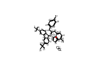 CC(C)(C)c1ccc2c(c1)-c1cc(C(C)(C)C)ccc1[CH]2[Zr+2]([C]1=CC=CC1)=[C](Cc1ccc(I)cc1)Cc1ccc(I)cc1.[Cl-].[Cl-]